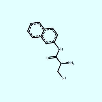 N[C@@H](CS)C(=O)Nc1ccc2ccccc2c1